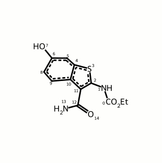 CCOC(=O)Nc1sc2cc(O)ccc2c1C(N)=O